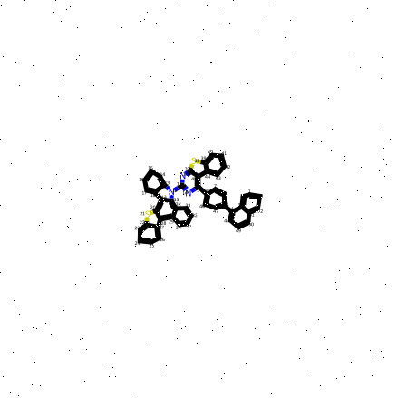 c1ccc2c(-c3ccc(-c4nc(-n5c6ccccc6c6c7sc8ccccc8c7c7ccccc7c65)nc5sc6ccccc6c45)cc3)cccc2c1